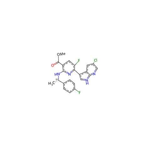 COC(=O)c1cc(F)c(-c2c[nH]c3ncc(Cl)cc23)nc1N[C@@H](C)c1ccc(F)cc1